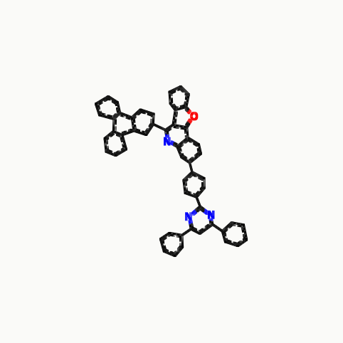 c1ccc(-c2cc(-c3ccccc3)nc(-c3ccc(-c4ccc5c(c4)nc(-c4ccc6c7ccccc7c7ccccc7c6c4)c4c6ccccc6oc54)cc3)n2)cc1